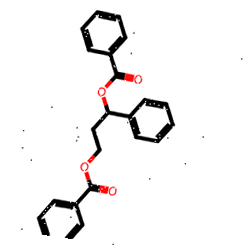 O=C(OCCC(OC(=O)c1ccccc1)c1ccccc1)c1ccccc1